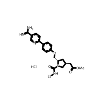 CCNC(=O)N1C[C@H](CC(=O)OC)C[C@H]1COc1ccc(-c2ccc(C(=N)N)cn2)cc1.Cl